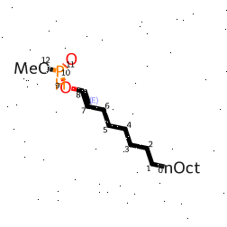 CCCCCCCCCCCCCC/C=C/O[PH](=O)OC